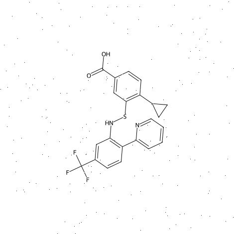 O=C(O)c1ccc(C2CC2)c(SNc2cc(C(F)(F)F)ccc2-c2ccccn2)c1